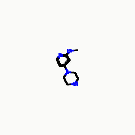 CNc1cc(N2CCNCC2)ccn1